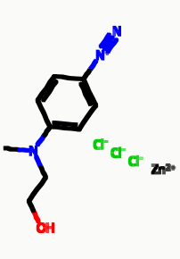 CN(CCO)c1ccc([N+]#N)cc1.[Cl-].[Cl-].[Cl-].[Zn+2]